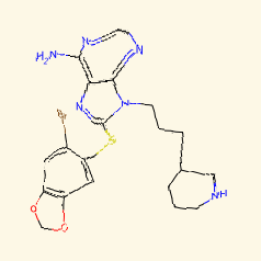 Nc1ncnc2c1nc(Sc1cc3c(cc1Br)OCO3)n2CCCC1CCCNC1